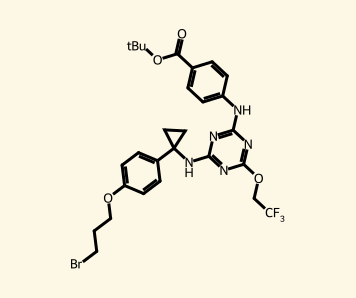 CC(C)(C)OC(=O)c1ccc(Nc2nc(NC3(c4ccc(OCCCBr)cc4)CC3)nc(OCC(F)(F)F)n2)cc1